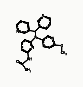 COc1ccc(N(c2cccc(NC(N)=O)n2)C(c2cccnc2)c2cccnc2)cn1